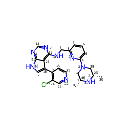 C[C@@H]1CN(c2cccc(CNc3ncnc4[nH]cc(-c5ccncc5Cl)c34)n2)C[C@H](C)N1